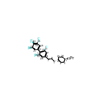 CCC[C@H]1CC[C@H](CCCc2cc(F)c(-c3cc(F)c(F)c(F)c3)c(F)c2)CC1